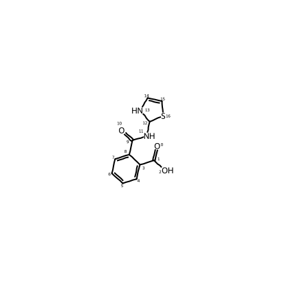 O=C(O)c1ccccc1C(=O)NC1NC=CS1